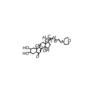 C/C(=N/OCCN1CCOCC1)C1CC[C@@]2(O)C3=CC(=O)C4CC(O)C(O)CC4(C)C3CCC12C